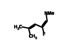 CN/C=C(/F)C=C(C)C